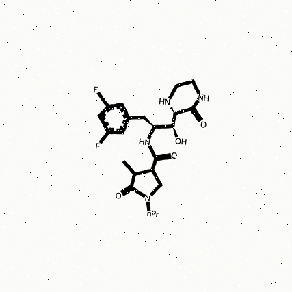 CCCN1CC(C(=O)N[C@@H](Cc2cc(F)cc(F)c2)[C@H](O)[C@@H]2NCCNC2=O)C(C)C1=O